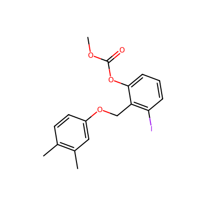 COC(=O)Oc1cccc(I)c1COc1ccc(C)c(C)c1